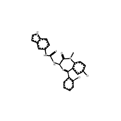 CN1C(=O)C(NC(=S)Nc2ccc3[nH]ccc3c2)N=C(c2ccccc2Cl)c2cc(Cl)ccc21